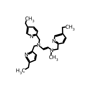 CCc1ccc(CN(C)C=CN(Cc2ccc(CC)cn2)Cc2ccc(CC)cn2)nc1